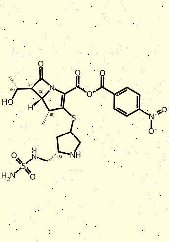 C[C@@H](O)[C@H]1C(=O)N2C(C(=O)OC(=O)c3ccc([N+](=O)[O-])cc3)=C(SC3CN[C@H](CNS(N)(=O)=O)C3)[C@H](C)[C@H]12